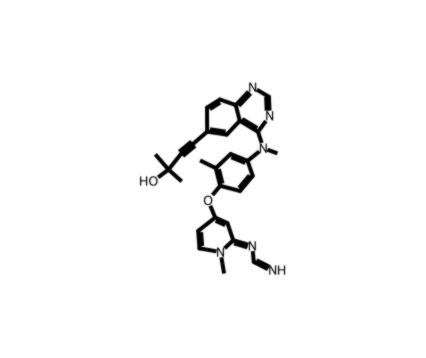 Cc1cc(N(C)c2ncnc3ccc(C#CC(C)(C)O)cc23)ccc1Oc1ccn(C)/c(=N\C=N)c1